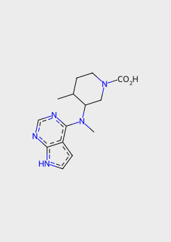 CC1CCN(C(=O)O)CC1N(C)c1ncnc2[nH]ccc12